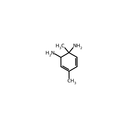 CC1=CC(N)C(C)(N)C=C1